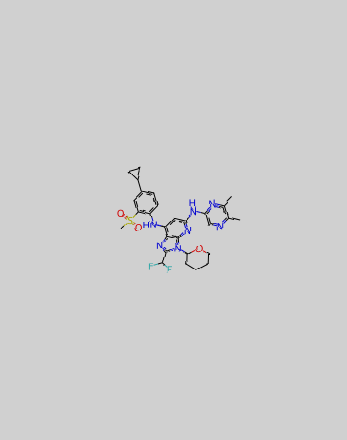 Cc1ncc(Nc2cc(Nc3ccc(C4CC4)cc3S(C)(=O)=O)c3nc(C(F)F)n(C4CCCCO4)c3n2)nc1C